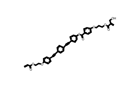 C=CC(=O)OCCOc1ccc(C#Cc2ccc(C#Cc3ccc(SC(=O)c4ccc(OCCCOC(=O)C(=C)CO)cc4)cc3)cc2)cc1